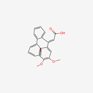 COc1ccc(C(=CC(=O)O)c2ccccc2-c2ccccc2)cc1OC